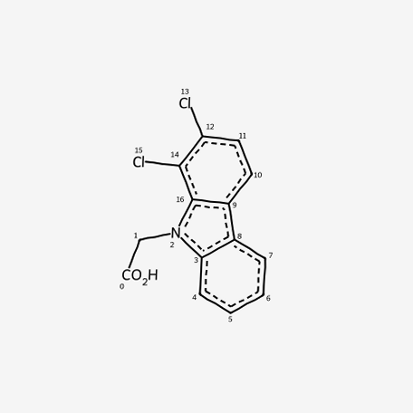 O=C(O)Cn1c2ccccc2c2ccc(Cl)c(Cl)c21